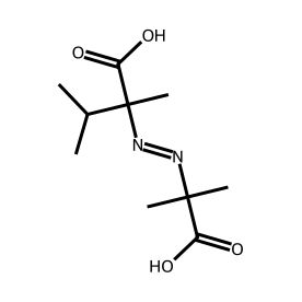 CC(C)C(C)(N=NC(C)(C)C(=O)O)C(=O)O